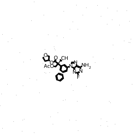 C#C[C@@](COC(C)=O)(C(=O)OC1CCOC1)c1cccc(-n2cnc3c(N)nc(F)nc32)c1.c1ccccc1